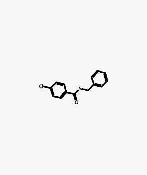 O=C(SCc1ccccc1)c1ccc(Cl)cc1